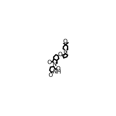 O=C1CCC(N2CC3CC(O[C@@H]4CCC[C@@H]4N4CCC5(CC4)COC5)CCC3C2=O)C(=O)N1